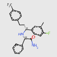 Cc1cc([C@@H](CCc2ccc(C(F)(F)F)cc2)N[C@H](C(N)=O)c2ccccc2)ccc1F